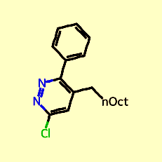 CCCCCCCCCc1cc(Cl)nnc1-c1ccccc1